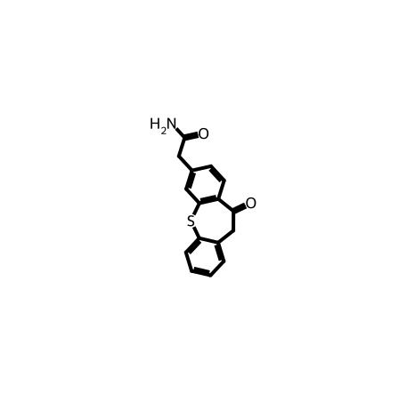 NC(=O)Cc1ccc2c(c1)Sc1ccccc1CC2=O